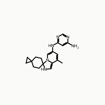 CC1=CC(Nc2cc(N)ncn2)=CN2C1=CNC21CCC2(CC2)CC1